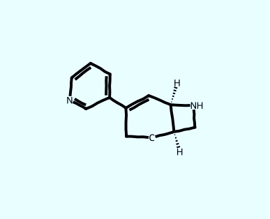 C1=C(c2cccnc2)CC[C@@H]2CN[C@H]12